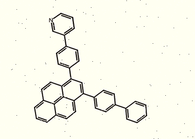 c1ccc(-c2ccc(-c3cc(-c4ccc(-c5cccnc5)cc4)c4ccc5cccc6ccc3c4c65)cc2)cc1